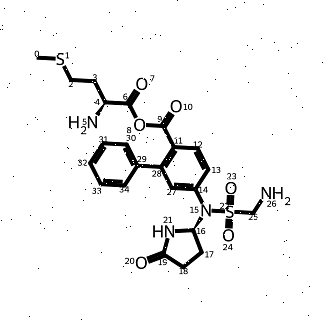 CSCC[C@H](N)C(=O)OC(=O)c1ccc(N([C@H]2CCC(=O)N2)S(=O)(=O)CN)cc1-c1ccccc1